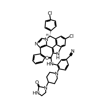 N#Cc1ccc(N2CCC(N3CCNC3=O)CC2)c(NC(=O)c2[nH]c3cc(Cl)cc4c3c2-c2c(-c3ccccc3)ncn2[C@@H]4c2ccc(Cl)cc2)c1